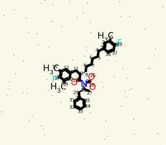 Cc1cc(CCCCCC[C@@H](Cc2cc(C)c(F)c(C)c2)C(=O)N2C(=O)OC[C@H]2Cc2ccccc2)ccc1F